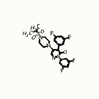 CC(C)S(=O)(=O)N1CCN(c2cnn(-c3cc(F)cc(F)c3)c(=O)c2-c2cc(F)cc(F)c2)CC1